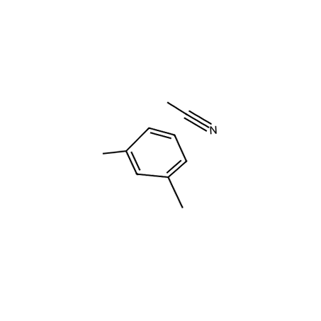 CC#N.Cc1cccc(C)c1